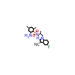 Cc1cc(C)c(S(=O)(=O)NC(C)Cn2cc(C#N)c3cc(F)ccc32)c(N)c1